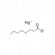 CCCCCCCC(=O)[O-].[Hg+]